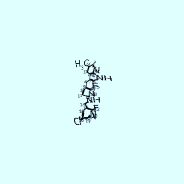 Cc1cnc2[nH]cc(Cc3ccc(NCc4cc(Cl)cnc4F)nc3F)c2c1